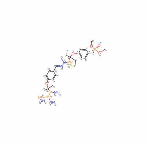 CCC(CC)(Oc1ccc(CP(=O)(OC)OC)cc1)[PH](=S)N(C)/N=C/c1ccc(OC(C)(C)P(N)P(N)PN)cc1